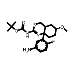 CO[C@H]1CCC2(c3cc(N)ccc3F)N=C(NC(=O)OC(C)(C)C)SCC2C1